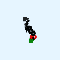 CC(C)CCC[C@@H](C)[C@H]1CC[C@H]2[C@@H]3CC=C4CC(OC(=O)CBr)CC[C@]4(C)CC3CC[C@]12C